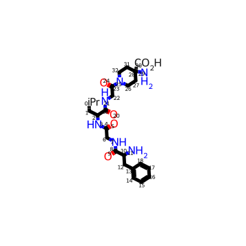 CC(C)CC(NC(=O)CNC(=O)C(N)Cc1ccccc1)C(=O)NCC(=O)N1CCC(N)(C(=O)O)CC1